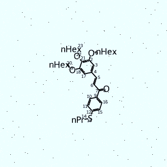 CCCCCCOc1cc(/C=C/C(=O)c2ccc(SCCC)cc2)cc(OCCCCCC)c1OCCCCCC